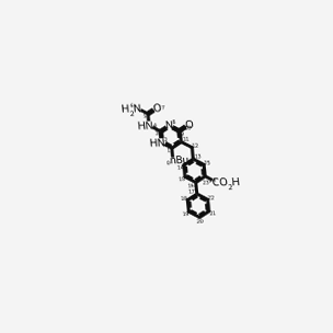 CCCCc1[nH]c(NC(N)=O)nc(=O)c1Cc1ccc(-c2ccccc2)c(C(=O)O)c1